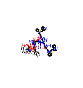 CC[C@H]1O[C@@H](n2cc(/C=C/C(=O)NCCN(CCNC(=O)CCCCN3/C(=C/c4ccnc5ccccc45)Sc4ccccc43)CCNC(=O)CCCCN3/C(=C/c4ccnc5ccccc45)Sc4ccccc43)c(=O)[nH]c2=O)C[C@H]1OP(OCCO)N(C(C)C)C(C)C